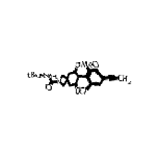 CC#Cc1cc(Cl)c(C2C(=O)CC3(CC2=O)CN(C(=O)NC(C)(C)C)C3)c(OC)c1